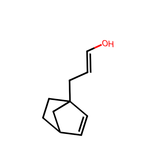 OC=CCC12C=CC(CC1)C2